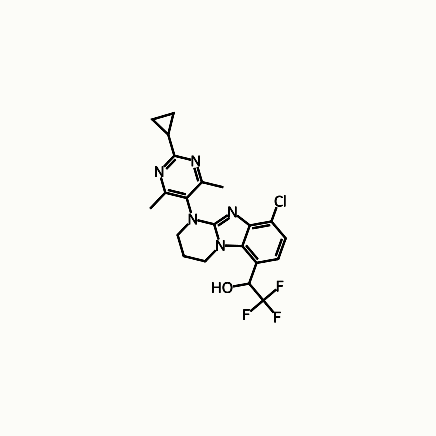 Cc1nc(C2CC2)nc(C)c1N1CCCn2c1nc1c(Cl)ccc(C(O)C(F)(F)F)c12